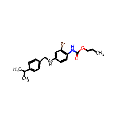 CCCOC(=O)Nc1ccc([AsH]Cc2ccc(C(C)C)cc2)cc1Br